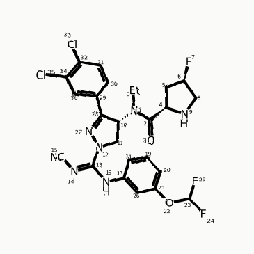 CCN(C(=O)[C@H]1C[C@@H](F)CN1)[C@@H]1CN(/C(=N\C#N)Nc2cccc(OC(F)F)c2)N=C1c1ccc(Cl)c(Cl)c1